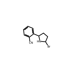 N#Cc1ccccc1C1CCC(Br)N1